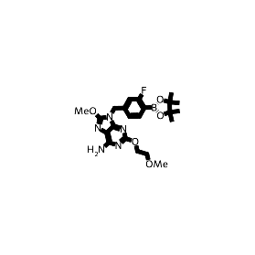 COCCOc1nc(N)c2nc(OC)n(Cc3ccc(B4OC(C)(C)C(C)(C)O4)c(F)c3)c2n1